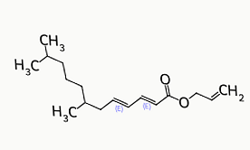 C=CCOC(=O)/C=C/C=C/CC(C)CCCC(C)C